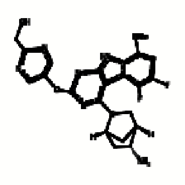 CNc1cc(F)c(F)c2c1[nH]c1nc(Oc3cnc(CO)nc3)nc(N3C[C@H]4C[C@@H]3C[C@H]4N)c12